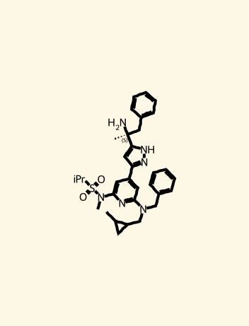 CC1CC1CN(Cc1ccccc1)c1cc(-c2cc([C@@](C)(N)Cc3ccccc3)[nH]n2)cc(N(C)S(=O)(=O)C(C)C)n1